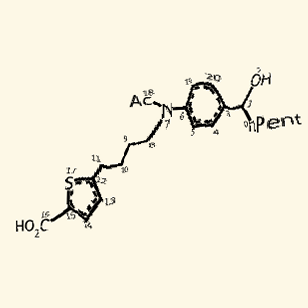 CCCCCC(O)c1ccc(N(CCCCc2ccc(C(=O)O)s2)C(C)=O)cc1